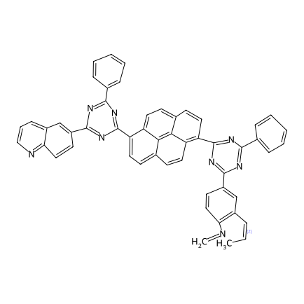 C=Nc1ccc(-c2nc(-c3ccccc3)nc(-c3ccc4ccc5c(-c6nc(-c7ccccc7)nc(-c7ccc8ncccc8c7)n6)ccc6ccc3c4c65)n2)cc1/C=C\C